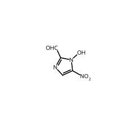 O=Cc1ncc([N+](=O)[O-])n1O